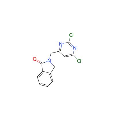 O=C1c2ccccc2CN1Cc1cc(Cl)nc(Cl)n1